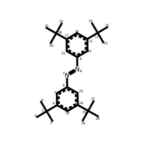 CC(C)(C)c1cc(/N=N/c2cc(C(C)(C)C)cc(C(C)(C)C)c2)cc(C(C)(C)C)c1